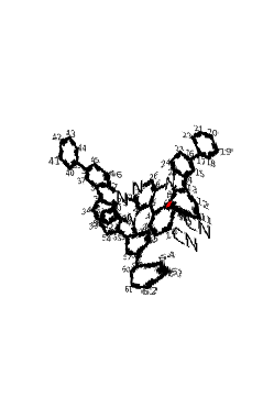 N#Cc1ccc(-c2c(-n3c4ccccc4c4cc(-c5ccccc5)ccc43)cnc(-n3c4ccccc4c4cc(-c5ccccc5)ccc43)c2-n2c3ccccc3c3cc(-c4ccccc4)ccc32)cc1C#N